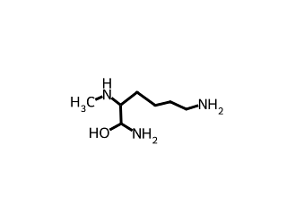 CNC(CCCCN)C(N)O